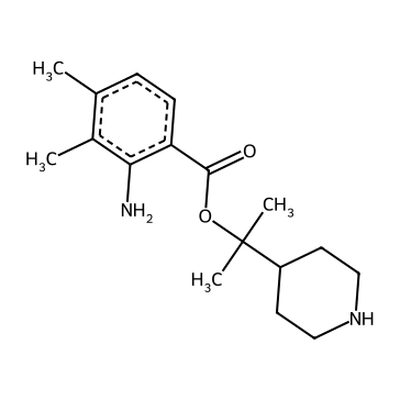 Cc1ccc(C(=O)OC(C)(C)C2CCNCC2)c(N)c1C